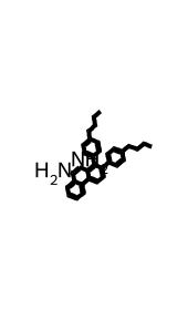 CCCCc1ccc(-c2ccc3c(c(N)c(N)c4ccccc43)c2-c2ccc(CCCC)cc2)cc1